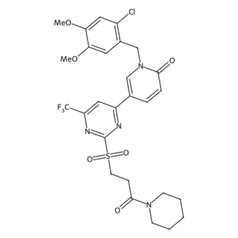 COc1cc(Cl)c(Cn2cc(-c3cc(C(F)(F)F)nc(S(=O)(=O)CCC(=O)N4CCCCC4)n3)ccc2=O)cc1OC